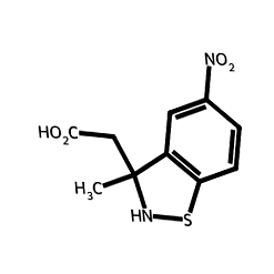 CC1(CC(=O)O)NSc2ccc([N+](=O)[O-])cc21